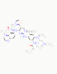 C=CC(=O)Nc1cc(Nc2ncc(-c3ncco3)c(Nc3ccc4nccnc4c3P(C)(C)=O)n2)c(OC)cc1N(C)CCN(C)C